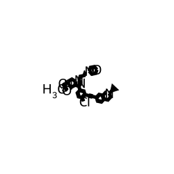 CS(=O)(=O)N1CCc2c(c(-c3ccc(Cl)c(C#Cc4ccc5c(c4)CN(C4CC4)CC5)c3)nn2CCCN2CCOCC2)C1